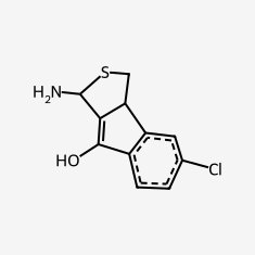 NC1SCC2C1=C(O)c1ccc(Cl)cc12